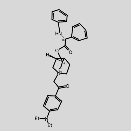 CCN(CC)c1ccc(C(=O)C[N+]23CCC(CC2)[C@@H](OC(=O)[C@H](Nc2ccccc2)c2ccccc2)C3)cc1